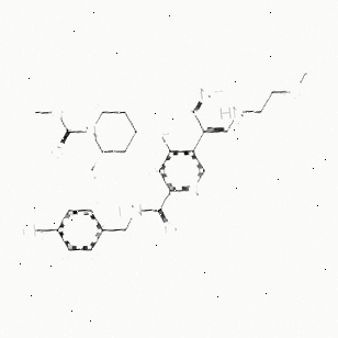 COCCN/C=C(\C=N)c1cnc(C(=O)NCc2ccc(Cl)cc2)cc1O[C@H]1CCN(C(=O)OC)[C@H](C)C1